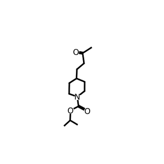 CC(=O)CCC1CCN(C(=O)OC(C)C)CC1